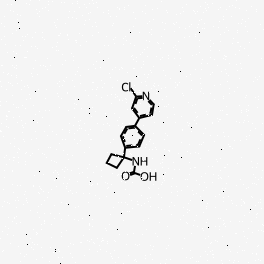 O=C(O)NC1(c2ccc(-c3ccnc(Cl)c3)cc2)CCC1